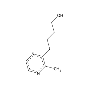 Cc1nccnc1CCCCO